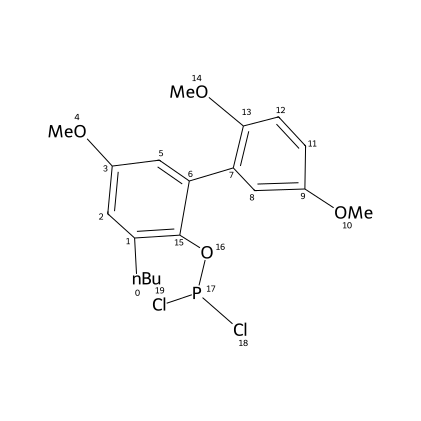 CCCCc1cc(OC)cc(-c2cc(OC)ccc2OC)c1OP(Cl)Cl